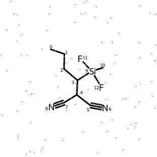 CCCC(C(C#N)C#N)[Si](C)(F)F